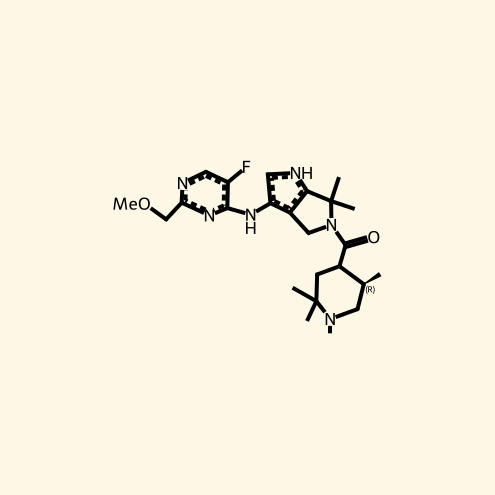 COCc1ncc(F)c(Nc2c[nH]c3c2CN(C(=O)C2CC(C)(C)N(C)C[C@@H]2C)C3(C)C)n1